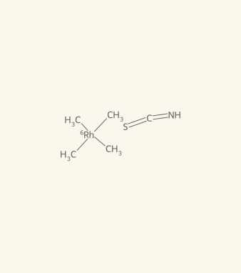 N=C=S.[CH3][6Rh]([CH3])([CH3])[CH3]